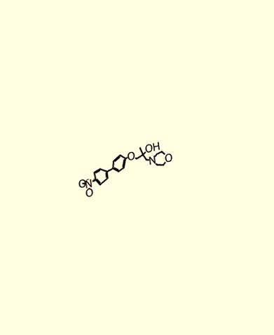 CC(O)(COc1ccc(-c2ccc([N+](=O)[O-])cc2)cc1)CN1CCOCC1